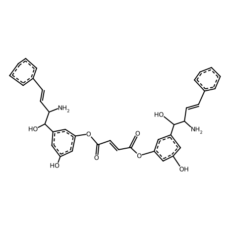 NC(C=Cc1ccccc1)C(O)c1cc(O)cc(OC(=O)/C=C/C(=O)Oc2cc(O)cc(C(O)C(N)C=Cc3ccccc3)c2)c1